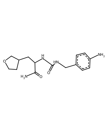 NC(=O)C(CC1CCOC1)NC(=O)NCc1ccc(N)cc1